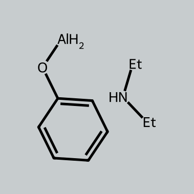 CCNCC.[AlH2][O]c1ccccc1